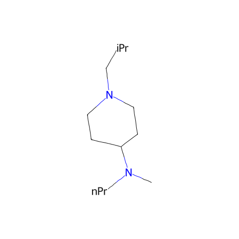 CCCN(C)C1CCN(CC(C)C)CC1